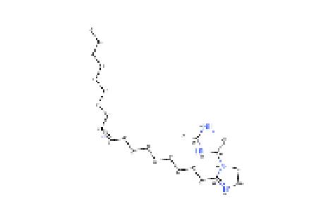 CCCCCCCC/C=C\CCCCCCCCC1=NCCN1C(C)NC(C)N